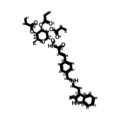 CCC(=O)O[C@H]1[C@H](OC(=O)CC)[C@H](ONC(=O)/C=C/c2ccc(CNCCc3c(C)[nH]c4ccccc34)cc2)O[C@@H](C)[C@H]1OC(=O)CC